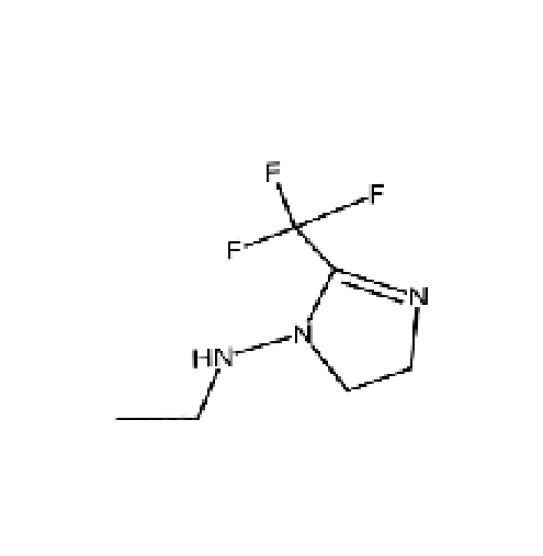 CCNN1CCN=C1C(F)(F)F